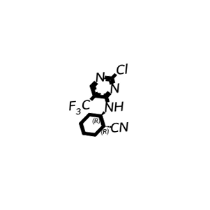 N#C[C@@H]1CCCC[C@H]1Nc1nc(Cl)ncc1C(F)(F)F